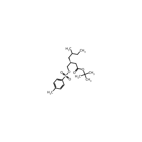 CCC(C)C[C@H](COS(=O)(=O)c1ccc(C)cc1)CC(=O)OC(C)(C)C